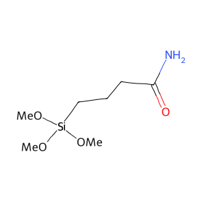 CO[Si](CCCC(N)=O)(OC)OC